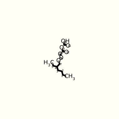 CCCCC(CC)COOOC(=O)OC(=O)O